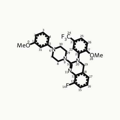 COc1cccc(N2CCN(C3=Nc4c(F)cccc4[C]N3c3cc(C(F)(F)F)ccc3OC)CC2)c1